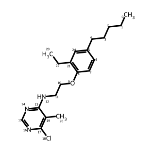 CCCCCc1ccc(OCCNc2ncnc(Cl)c2C)c(CC)c1